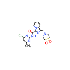 Cc1cc(Cl)nc(NC(=O)c2nc(CN3CCS(=O)(=O)CC3)c3ccccn23)n1